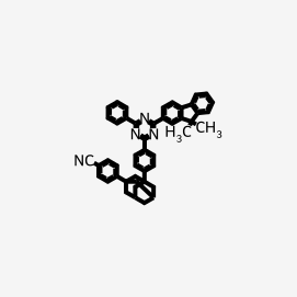 CC1(C)c2ccccc2-c2ccc(-c3nc(-c4ccccc4)nc(-c4ccc(C56CC7CC(CC(c8ccc(C#N)cc8)(C7)C5)C6)cc4)n3)cc21